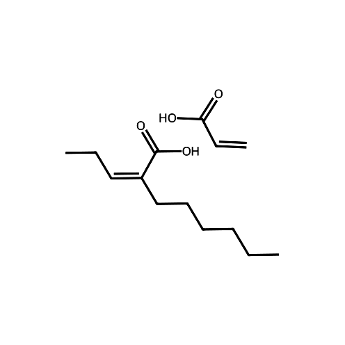 C=CC(=O)O.CCC=C(CCCCCC)C(=O)O